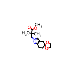 COC(=O)C(C)(C)Cn1cc2c(n1)CCC1(C2)OCCO1